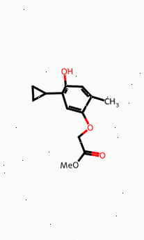 COC(=O)COc1cc(C2CC2)c(O)cc1C